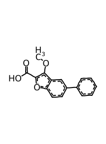 COc1c(C(=O)O)oc2ccc(-c3ccccc3)cc12